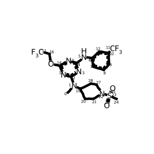 CN(c1nc(Nc2cccc(C(F)(F)F)c2)nc(OCC(F)(F)F)n1)C1CCN(S(C)(=O)=O)CC1